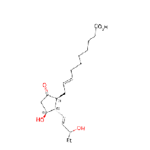 CCC(O)C=C[C@H]1[C@H](CC=CCCCCCCC(=O)O)C(=O)C[C@@H]1O